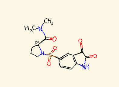 CN(C)C(=O)[C@@H]1CCCN1S(=O)(=O)c1ccc2c(c1)C(=O)C(=O)N2